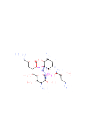 CNCC1(O)C(O[C@H]2OC(CN)CCC2N)[C@@H](N)C[C@@H](NC(=O)[C@@H](O)CCN)[C@@H]1O[C@H]1OC(CO)[C@@H](O)[C@H](N)C1O